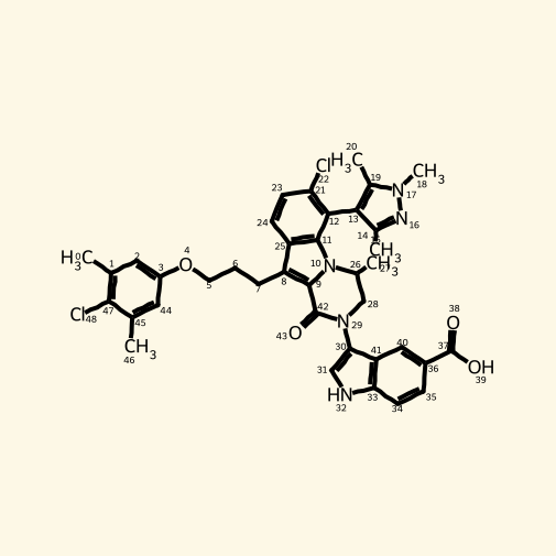 Cc1cc(OCCCc2c3n(c4c(-c5c(C)nn(C)c5C)c(Cl)ccc24)C(C)CN(c2c[nH]c4ccc(C(=O)O)cc24)C3=O)cc(C)c1Cl